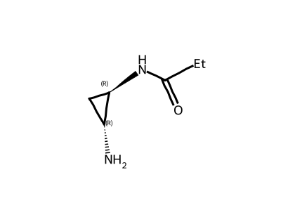 CCC(=O)N[C@@H]1C[C@H]1N